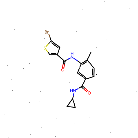 Cc1ccc(C(=O)NC2CC2)cc1NC(=O)c1csc(Br)c1